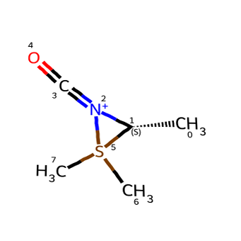 C[C@H]1[N+](=C=O)S1(C)C